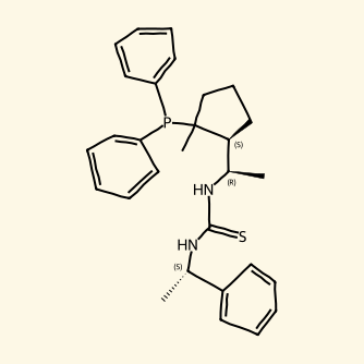 C[C@H](NC(=S)N[C@H](C)[C@@H]1CCCC1(C)P(c1ccccc1)c1ccccc1)c1ccccc1